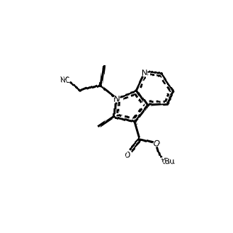 Cc1c(C(=O)OC(C)(C)C)c2cccnc2n1C(C)CC#N